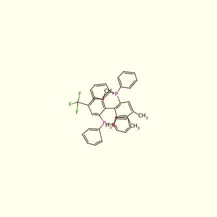 Cc1cc(P(c2ccccc2)c2ccccc2)c(-c2c(C)cc(C(F)(F)F)cc2P(c2ccccc2)c2ccccc2)c(C)c1C